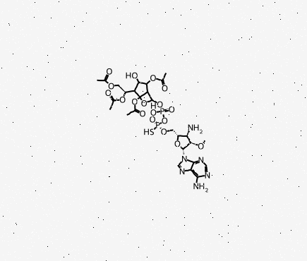 CO[C@@H]1[C@H](N)[C@@H](COP(=O)(S)OP(=O)(O)OC2OC3(OC(C)=O)C2C(OC(C)=O)C(O)C3[C@H](COC(C)=O)OC(C)=O)O[C@H]1n1cnc2c(N)ncnc21